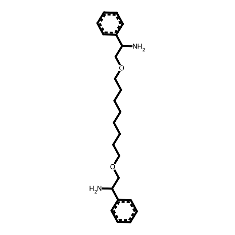 NC(COCCCCCCCCOCC(N)c1ccccc1)c1ccccc1